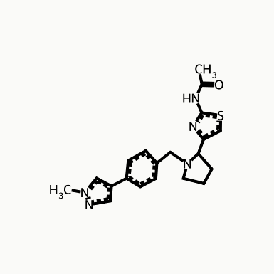 CC(=O)Nc1nc(C2CCCN2Cc2ccc(-c3cnn(C)c3)cc2)cs1